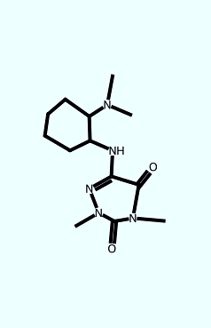 CN(C)C1CCCCC1Nc1nn(C)c(=O)n(C)c1=O